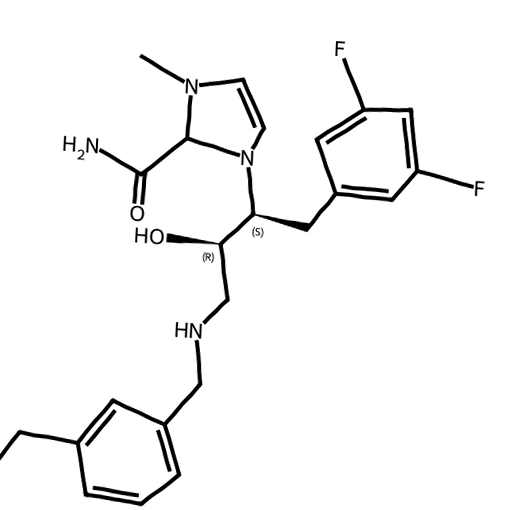 CCc1cccc(CNC[C@@H](O)[C@H](Cc2cc(F)cc(F)c2)N2C=CN(C)C2C(N)=O)c1